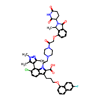 Cc1nn(C)c(C)c1-c1c(Cl)ccc2c(CCCOc3cccc4cc(F)ccc34)c(C(=O)O)n(CCN3CCN(C(=O)COc4cccc5c4C(C)N(C4CCC(=O)NC4=O)C5=O)CC3)c12